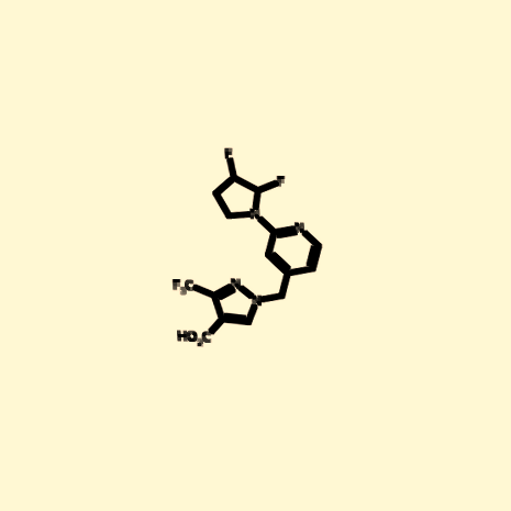 O=C(O)c1cn(Cc2ccnc(N3CCC(F)C3F)c2)nc1C(F)(F)F